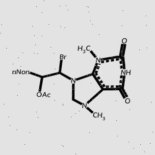 CCCCCCCCCC(OC(C)=O)C(Br)N1CN(C)c2c1n(C)c(=O)[nH]c2=O